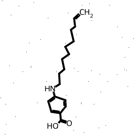 C=CCCCCCCCCCNc1ccc(C(=O)O)cc1